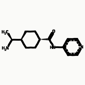 C[C@H](N)[C@H]1CC[C@H](C(=O)Nc2ccncc2)CC1